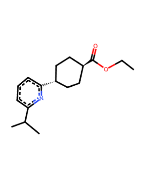 CCOC(=O)[C@H]1CC[C@H](c2cccc(C(C)C)n2)CC1